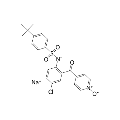 CC(C)(C)c1ccc(S(=O)(=O)[N-]c2ccc(Cl)cc2C(=O)c2cc[n+]([O-])cc2)cc1.[Na+]